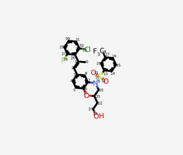 CC(=Cc1ccc2c(c1)N(S(=O)(=O)c1cccc(C(F)(F)F)c1)CC(CCO)O2)c1c(F)cccc1Cl